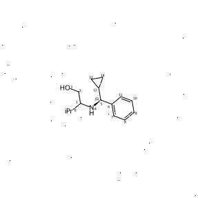 CC(C)C(CO)N[C@H](c1ccccc1)C1CC1